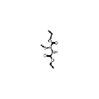 CCOC(=O)NN(SC)C(=O)OCC